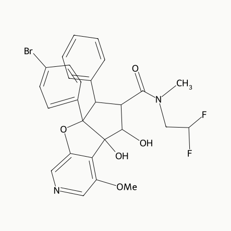 COc1cncc2c1C1(O)C(O)C(C(=O)N(C)CC(F)F)C(c3ccccc3)C1(c1ccc(Br)cc1)O2